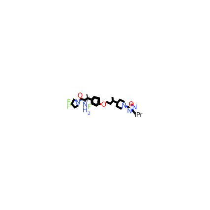 CC(C)c1noc(N2CCC(C(C)CCOc3ccc([C@H](C)[C@H](N)C(=O)N4CCC(F)(F)C4)c(F)c3)CC2)n1